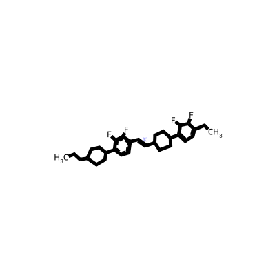 CCCC1CCC(c2ccc(/C=C/C3CCC(C4=CC=C(CC)C(F)C4F)CC3)c(F)c2F)CC1